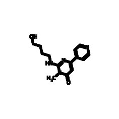 Cn1c(NCCCCO)nc(-c2ccncc2)cc1=O